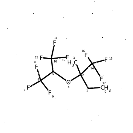 CCC(C)(OC(C(F)(F)F)C(F)(F)F)C(F)(F)F